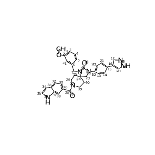 COc1cccc(CN2C(=O)N(c3ccc(-c4cn[nH]c4)cc3)CC23CCN(C(=O)c2ccc4cc[nH]c4c2)CC3)c1